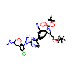 CN(C)C1COc2c(cc(Cl)cc2Nc2nccc(-c3cc(C#N)c4c(c3)[C@@](C)(CO[Si](C)(C)C(C)(C)C)CN4C(=O)OC(C)(C)C)n2)C1